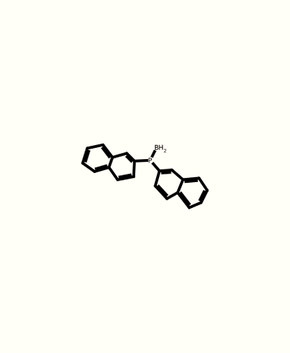 BP(c1ccc2ccccc2c1)c1ccc2ccccc2c1